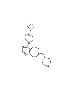 c1nc2c(c(N3CCN(C4CCC4)CC3)n1)CCN(CC1CCOCC1)CC2